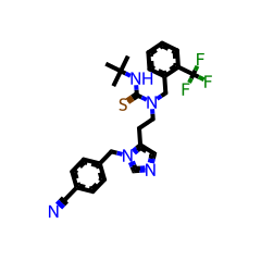 CC(C)(C)NC(=S)N(CCc1cncn1Cc1ccc(C#N)cc1)Cc1ccccc1C(F)(F)F